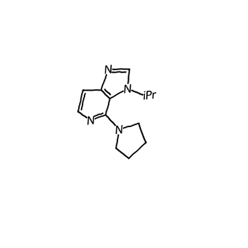 CC(C)n1cnc2ccnc(N3CCCC3)c21